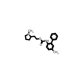 Cc1ccc(NC(=O)OCCC2CCCN2C)c(-c2ccccc2)c1